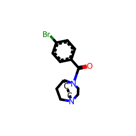 O=C(c1ccc(Br)cc1)N1CCN2CCC1CC2